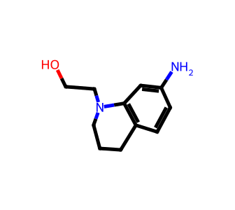 Nc1ccc2c(c1)N(CCO)CCC2